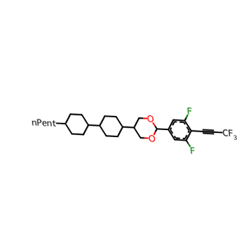 CCCCCC1CCC(C2CCC(C3COC(c4cc(F)c(C#CC(F)(F)F)c(F)c4)OC3)CC2)CC1